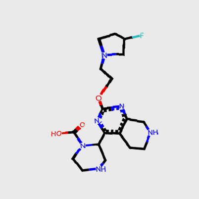 O=C(O)N1CCNCC1c1nc(OCCN2CCC(F)C2)nc2c1CCNC2